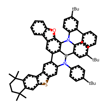 CC(C)(C)c1ccc(N2B3c4cc(C(C)(C)C)ccc4N(c4ccc(C(C)(C)C)cc4-c4ccccc4)c4c3c(cc3c4oc4ccccc43)-c3cc4c(cc32)sc2cc3c(cc24)C(C)(C)CCC3(C)C)cc1